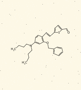 CCCCN(CCCC)c1ccc(C=Cc2ccc(C=O)s2)c(OCc2ccccc2)c1